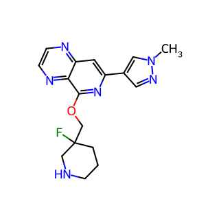 Cn1cc(-c2cc3nccnc3c(OCC3(F)CCCNC3)n2)cn1